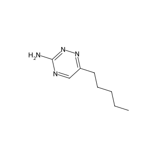 CCCCCc1cnc(N)nn1